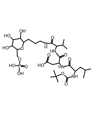 CC(C)CC(NC(=O)OC(C)(C)C)C(=O)NC(CC(=O)O)C(=O)NC(C(=O)NCCCC1OC(COP(=O)(O)O)C(O)C(O)C1O)C(C)C